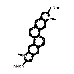 CCCCCCCCCc1cc2cc3ccc4c5cc6c(cc(CCCCCCCCC)n6C)cc5ccc4c3cc2n1C